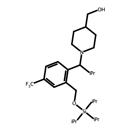 CC(C)C(c1ccc(C(F)(F)F)cc1CO[Si](C(C)C)(C(C)C)C(C)C)N1CCC(CO)CC1